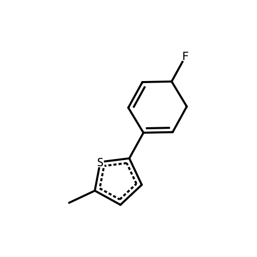 Cc1ccc(C2=CCC(F)C=C2)s1